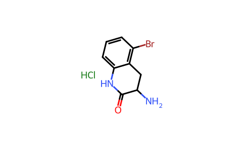 Cl.NC1Cc2c(Br)cccc2NC1=O